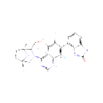 O=c1[nH]c2cccc(-c3c(Cl)c4c5c(ncnc5c3F)N3C[C@@H]5CC[C@@H](N5)[C@H]3CO4)c2[nH]1